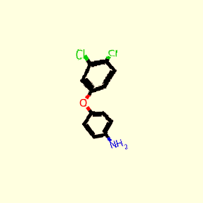 Nc1ccc(Oc2ccc(Cl)c(Cl)c2)cc1